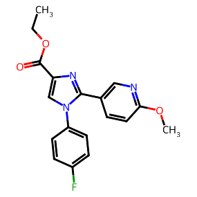 CCOC(=O)c1cn(-c2ccc(F)cc2)c(-c2ccc(OC)nc2)n1